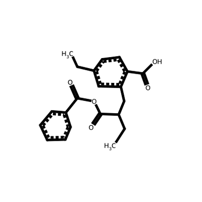 CCc1ccc(C(=O)O)c(CC(CC)C(=O)OC(=O)c2ccccc2)c1